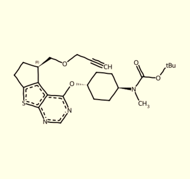 C#CCOC[C@@H]1CCc2sc3ncnc(O[C@H]4CC[C@H](N(C)C(=O)OC(C)(C)C)CC4)c3c21